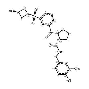 N#CC1CN(S(=O)(=O)c2cccc(C(=O)N3CCC[C@@H]3C(=O)NCc3ccc(Cl)c(Cl)c3)c2)C1